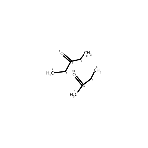 CCC(=O)CC.CCC(C)=O